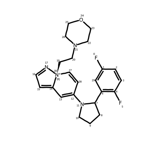 Fc1ccc(F)c(C2CCCN2C2=CC3=CC=N[N@+]3(CCN3CCOCC3)C=C2)c1